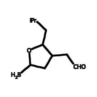 BC1CC(CC=O)C(CC(C)C)O1